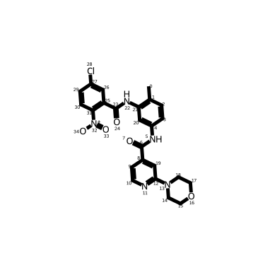 Cc1ccc(NC(=O)c2ccnc(N3CCOCC3)c2)cc1NC(=O)c1cc(Cl)ccc1[N+](=O)[O-]